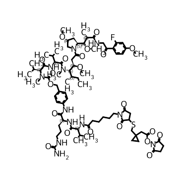 CC[C@H](C)[C@@H]([C@@H](CC(=O)N1C[C@H](OC)C[C@H]1[C@H](OC)[C@@H](C)C(=O)NCC(=O)c1ccc(OC)cc1F)OC)N(C)C(=O)[C@@H](NC(=O)[C@H](C(C)C)N(C)C(=O)OCc1ccc(NC(=O)[C@H](CCCNC(N)=O)NC(=O)[C@@H](NC(=O)CCCCCN2C(=O)CC(SCC3(CC(=O)ON4C(=O)CCC4=O)CC3)C2=O)C(C)C)cc1)C(C)C